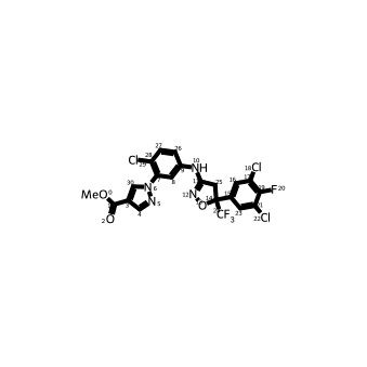 COC(=O)c1cnn(-c2cc(NC3=NOC(c4cc(Cl)c(F)c(Cl)c4)(C(F)(F)F)C3)ccc2Cl)c1